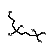 C[Si](C)(C)CCC[Si](C)(C)CCCO